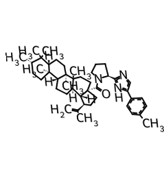 C=C(C)[C@@H]1CC[C@]2(C(=O)N3CCC[C@H]3c3ncc(-c4ccc(C)cc4)[nH]3)CC[C@]3(C)[C@H](CC[C@@H]4[C@@]5(C)CC[C@H](C)C(C)(C)[C@@H]5CC[C@]43C)[C@@H]12